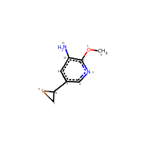 COc1ncc(C2CS2)cc1N